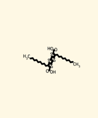 CCCCCCCCCCc1c(C(=O)O)sc2c1sc1c3sc(C(=O)O)c(CCCCCCCCCC)c3sc21